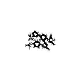 Cc1cn(-c2ccc(-c3cccc(S(C)(=O)=O)c3)cc2-c2cc(C)nn2-c2ccc(OC(F)F)cc2)c(C)n1